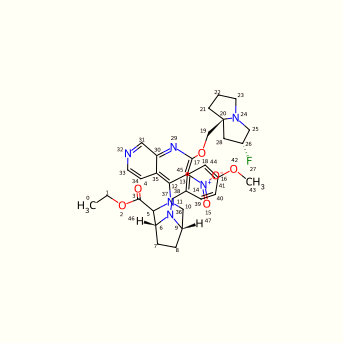 CCOC(=O)C1[C@H]2CC[C@@H](CN1c1c([N+](=O)[O-])c(OC[C@@]34CCCN3C[C@H](F)C4)nc3cnccc13)N2Cc1ccc(OC)cc1